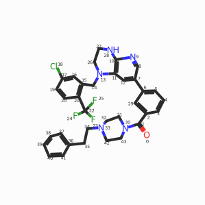 O=C(c1cccc(-c2cnc3c(c2)N(Cc2cc(Cl)ccc2C(F)(F)F)CCN3)c1)N1CCN(CCc2ccccc2)CC1